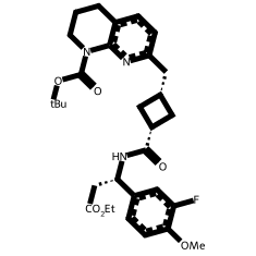 CCOC(=O)C[C@H](NC(=O)[C@H]1C[C@@H](Cc2ccc3c(n2)N(C(=O)OC(C)(C)C)CCC3)C1)c1ccc(OC)c(F)c1